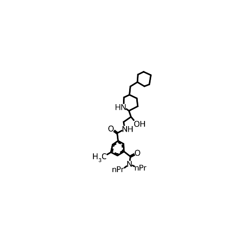 CCCN(CCC)C(=O)c1cc(C)cc(C(=O)NCC(O)C2CCC(CC3CCCCC3)CN2)c1